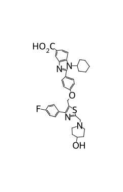 O=C(O)c1ccc2c(c1)nc(-c1ccc(OCc3sc(CN4CCC(O)CC4)nc3-c3ccc(F)cc3)cc1)n2C1CCCCC1